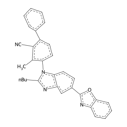 CCCCc1nc2cc(-c3nc4ccccc4o3)ccc2n1-c1ccc(-c2ccccc2)c(C#N)c1C